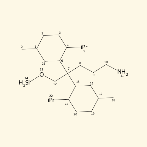 CC1CCC(C(C)C)C(C(CCCN)(CO[SiH3])C2CC(C)CCC2C(C)C)C1